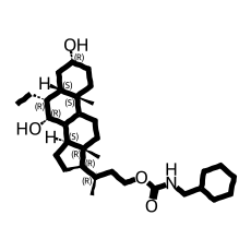 CC[C@H]1[C@@H](O)C2C(CC[C@]3(C)[C@@H]([C@H](C)CCOC(=O)NCC4CCCCC4)CC[C@@H]23)[C@@]2(C)CC[C@@H](O)C[C@@H]12